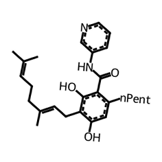 CCCCCc1cc(O)c(C/C=C(\C)CCC=C(C)C)c(O)c1C(=O)Nc1cccnc1